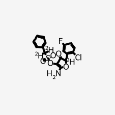 [2H]C1(c2cc(F)ccc2Cl)OC(N)=C(OS(=O)(=O)C([2H])([2H])c2ccccc2)C1=O